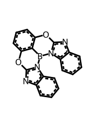 c1cc2c3c(c1)Oc1nc4ccccc4n1B3n1c(nc3ccccc31)O2